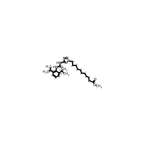 COC(=O)CCCCCCCCCCn1nnc(NC(=O)Nc2c(C(C)C)cccc2C(C)C)n1